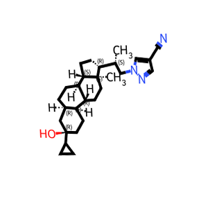 C[C@H](Cn1cc(C#N)cn1)[C@H]1CC[C@H]2[C@@H]3CC[C@@H]4C[C@@](O)(C5CC5)CC[C@@H]4[C@H]3CC[C@]12C